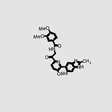 COc1ccc(C(=O)NCC(=O)c2ccc(OC)c(-c3ccc4[nH]c(C)nc4c3)n2)cc1OC